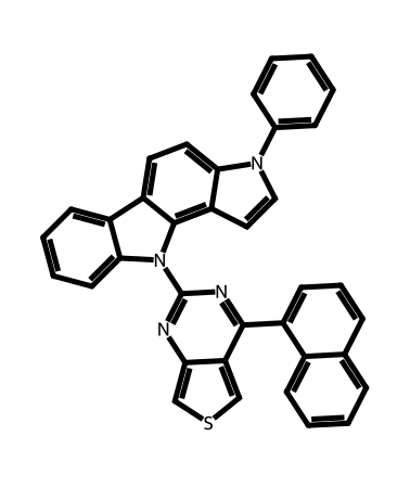 c1ccc(-n2ccc3c2ccc2c4ccccc4n(-c4nc(-c5cccc6ccccc56)c5cscc5n4)c23)cc1